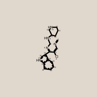 C=N/C=C(Cl)\C(=N/CNC1CCCNC1)c1c[nH]c2ccccc12